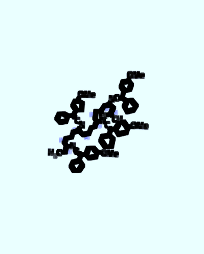 C/C=C(\C=C/C/C=C(\C=C/C/C=C(\C=C/C/C=C(\C=C(\C)CC)N=C=C(c1ccccc1)c1ccc(OC)cc1)N=C=C(c1ccccc1)c1ccc(OC)cc1)N=C=C(c1ccccc1)c1ccc(OC)cc1)N=C=C(c1ccccc1)c1ccc(OC)cc1